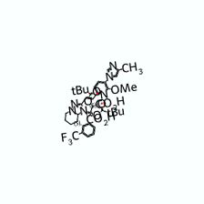 COc1nc(C=CC2=NN3CCC[C@@H](c4ccccc4C(F)(F)F)C3N2[C@@](OC(=O)C(C)(C)C)(C(=O)O)[C@H](OC(=O)C(C)(C)C)C(=O)O)ccc1-n1cnc(C)c1